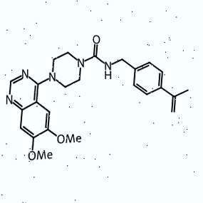 C=C(C)c1ccc(CNC(=O)N2CCN(c3ncnc4cc(OC)c(OC)cc34)CC2)cc1